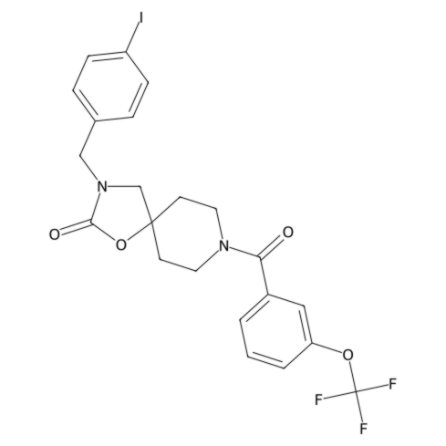 O=C1OC2(CCN(C(=O)c3cccc(OC(F)(F)F)c3)CC2)CN1Cc1ccc(I)cc1